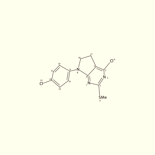 CSc1nc(Cl)c2c(n1)N(c1ccc(Cl)cc1)CC2